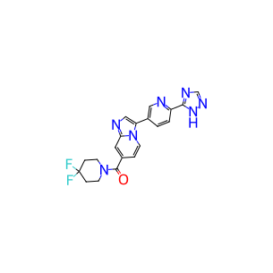 O=C(c1ccn2c(-c3ccc(-c4ncn[nH]4)nc3)cnc2c1)N1CCC(F)(F)CC1